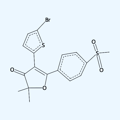 CC1(C)OC(c2ccc(S(C)(=O)=O)cc2)=C(c2ccc(Br)s2)C1=O